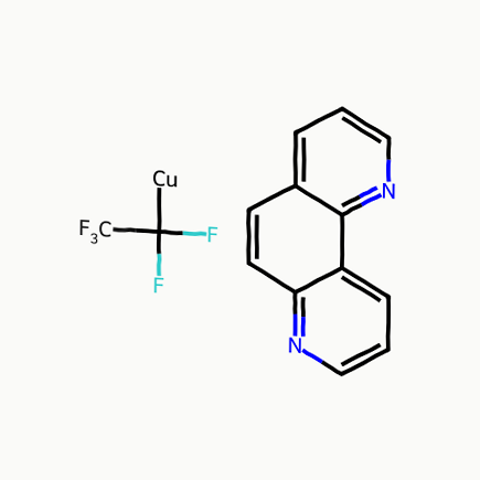 FC(F)(F)[C](F)(F)[Cu].c1cnc2c(c1)ccc1ncccc12